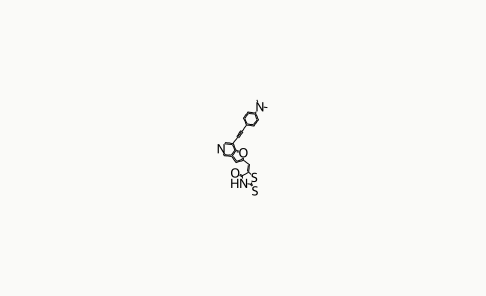 CN(C)c1ccc(C#Cc2cncc3cc(C=C4SC(=S)NC4=O)oc23)cc1